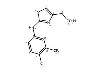 O=C(O)Cc1csc(Nc2ccc(Cl)c(C(F)(F)F)c2)n1